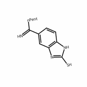 CCCCCC(=N)c1ccc2[nH]c(S)nc2c1